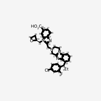 CC[C@H](c1ccc(Cl)cc1F)c1cccc2c1nc1n2CCN(Cc2nc3ccc(C(=O)O)cc3n2C[C@@H]2CCO2)C1